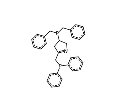 c1ccc(CP(Cc2ccccc2)C2CN=C(CP(c3ccccc3)c3ccccc3)C2)cc1